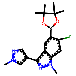 Cn1cc(-c2nn(C)c3cc(F)c(B4OC(C)(C)C(C)(C)O4)cc23)cn1